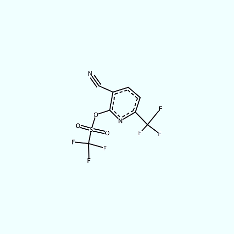 N#Cc1ccc(C(F)(F)F)nc1OS(=O)(=O)C(F)(F)F